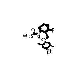 CCc1cc(C)c(OCc2c(F)cccc2N(C)C(=O)SC)cc1C